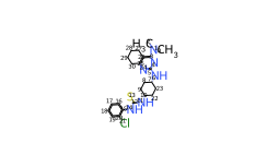 CN(C)c1nc(N[C@H]2CC[C@@H](NC(=S)Nc3ccccc3Cl)CC2)nc2c1CCCC2